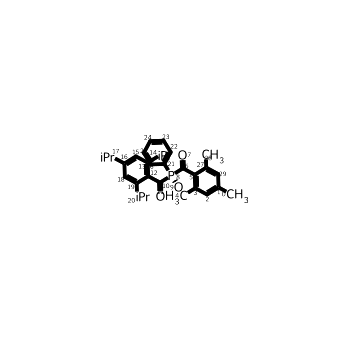 Cc1cc(C)c(C(=O)P(=O)(C(=O)c2c(C(C)C)cc(C(C)C)cc2C(C)C)c2ccccc2)c(C)c1